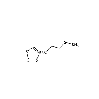 C1=CSSS1.CCCSC